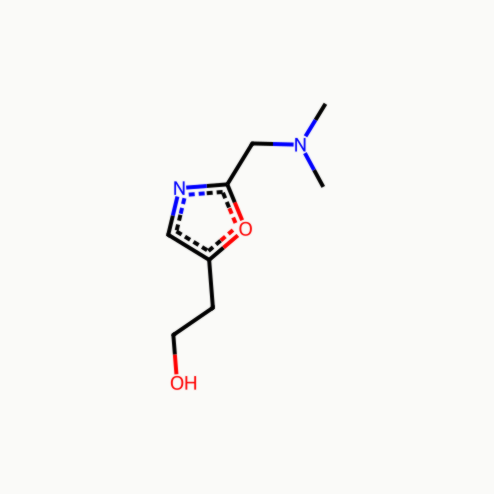 CN(C)Cc1ncc(CCO)o1